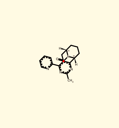 Cc1nc(-c2ccccn2)c2c(n1)[C@H]1CCC[C@@H](C2)N1C=O